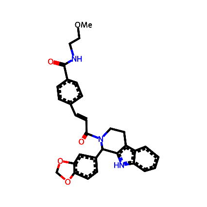 COCCNC(=O)c1ccc(/C=C/C(=O)N2CCc3c([nH]c4ccccc34)C2c2ccc3c(c2)OCO3)cc1